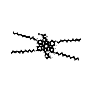 CCCCCCCCCCCCOc1ccc(C2(c3ccc(OCCCCCCCCCCCC)cc3)C3=Cc4c5c(sc4=C3C(c3ccc(OCCCCCCCCCCCC)cc3)(c3ccc(OCCCCCCCCCCCC)cc3)C3C=c4c(sc6c(Br)csc46)=C32)=C(Br)CS5)cc1